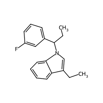 CCc1cn(C(CC)c2cccc(F)c2)c2ccccc12